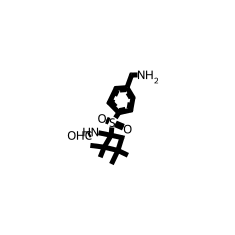 CC1(C)CC(NC=O)(S(=O)(=O)c2ccc(CN)cc2)C1(C)C